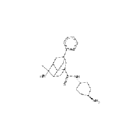 CCCC1(C)C2CC3(C(=S)N[C@H]4CC[C@H](N)CC4)CC1CC(c1ccccc1)(C2)C3